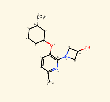 Cc1ccc(O[C@H]2CCC[C@H](C(=O)O)C2)c(N2CC(O)C2)n1